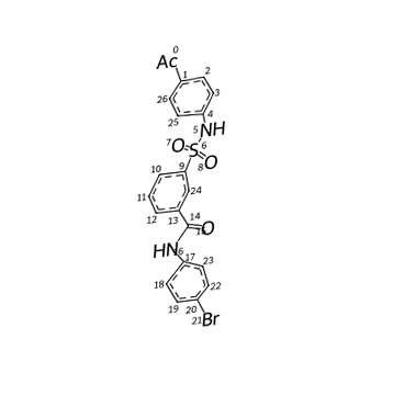 CC(=O)c1ccc(NS(=O)(=O)c2cccc(C(=O)Nc3ccc(Br)cc3)c2)cc1